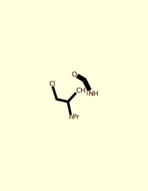 CCCC(C)CCl.N=C=O